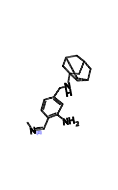 C/N=C\c1ccc(CNC23CC4CC(CC(C4)C2)C3)cc1N